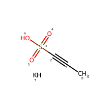 CC#CS(=O)(=O)O.[KH]